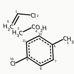 C=CCl.CC(=O)O.Cc1ccc(Cl)cc1